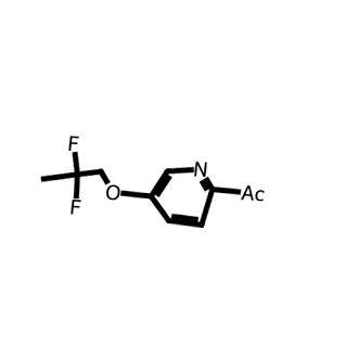 CC(=O)c1ccc(OCC(C)(F)F)cn1